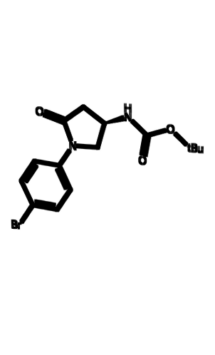 CC(C)(C)OC(=O)N[C@@H]1CC(=O)N(c2ccc(Br)cc2)C1